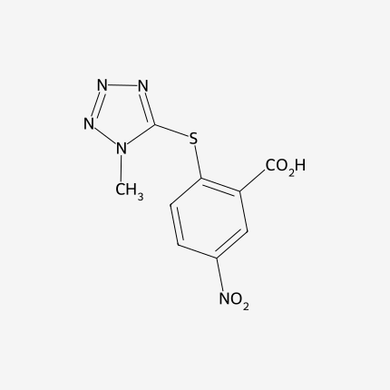 Cn1nnnc1Sc1ccc([N+](=O)[O-])cc1C(=O)O